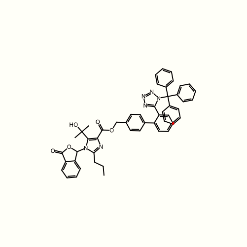 CCCc1nc(C(=O)OCc2ccc(-c3ccccc3-c3nnnn3C(c3ccccc3)(c3ccccc3)c3ccccc3)cc2)c(C(C)(C)O)n1C1OC(=O)c2ccccc21